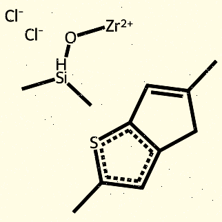 CC1=Cc2sc(C)cc2C1.C[SiH](C)[O][Zr+2].[Cl-].[Cl-]